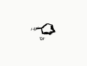 [Br-].[Hg+][c]1ccccc1